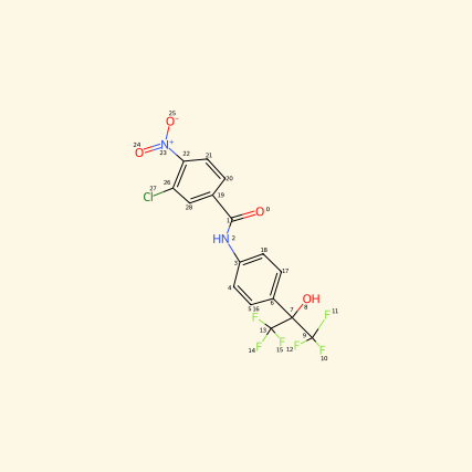 O=C(Nc1ccc(C(O)(C(F)(F)F)C(F)(F)F)cc1)c1ccc([N+](=O)[O-])c(Cl)c1